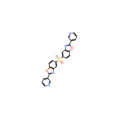 O=S(=O)(c1ccc2oc(-c3cccnc3)nc2c1)c1ccc2oc(-c3cccnc3)nc2c1